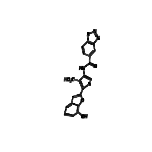 O=C(Nc1csc(-c2cc3cccc(O)c3o2)c1C(=O)O)c1ccc2snnc2c1